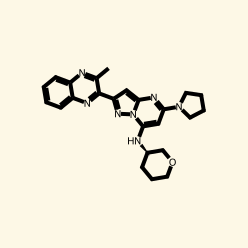 Cc1nc2ccccc2nc1-c1cc2nc(N3CCCC3)cc(N[C@@H]3CCCOC3)n2n1